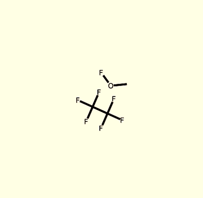 COF.FC(F)(F)C(F)(F)F